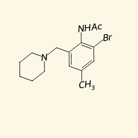 CC(=O)Nc1c(Br)cc(C)cc1CN1CCCCC1